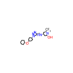 Oc1cc(NCc2cn(-c3ccc(Oc4ccccc4)cc3)nn2)cc(C(F)(F)F)n1